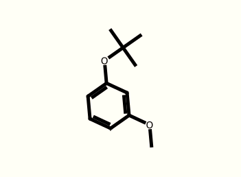 COc1[c]ccc(OC(C)(C)C)c1